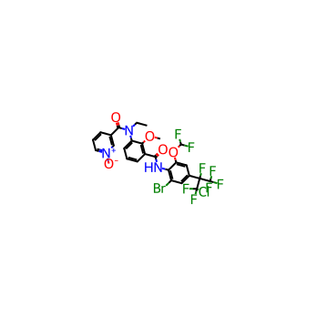 CCN(C(=O)c1ccc[n+]([O-])c1)c1cccc(C(=O)Nc2c(Br)cc(C(F)(C(F)(F)F)C(F)(F)Cl)cc2OC(F)F)c1OC